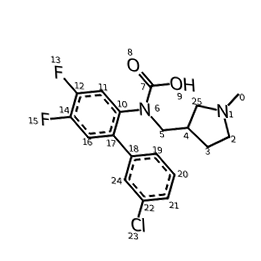 CN1CCC(CN(C(=O)O)c2cc(F)c(F)cc2-c2cccc(Cl)c2)C1